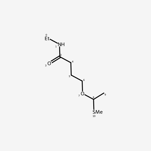 CCNC(=O)CCCOC(C)SC